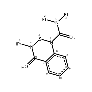 CCN(CC)C(=O)N1SN(C(C)C)C(=O)c2ccccc21